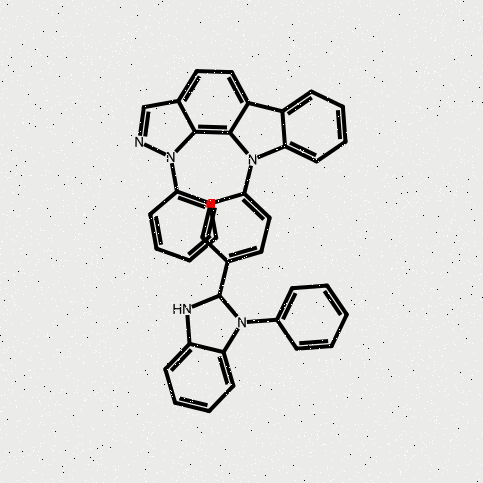 c1ccc(N2c3ccccc3NC2c2ccc(-n3c4ccccc4c4ccc5cnn(-c6ccccc6)c5c43)cc2)cc1